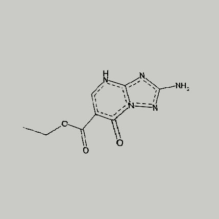 CCOC(=O)c1c[nH]c2nc(N)nn2c1=O